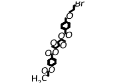 C=CC(=O)Oc1ccc(C(=O)OC2COC3C(OC(=O)c4ccc(COCCCBr)cc4)COC23)cc1